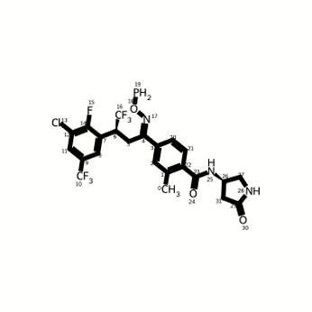 Cc1cc(/C(C[C@@H](c2cc(C(F)(F)F)cc(Cl)c2F)C(F)(F)F)=N/OP)ccc1C(=O)N[C@H]1CNC(=O)C1